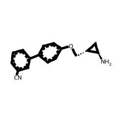 N#Cc1cccc(-c2ccc(OC[C@@H]3C[C@H]3N)cc2)c1